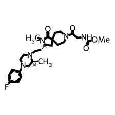 COC(=O)NCC(=O)N1CCC2(CC1)C[C@H](CCN1CCN(c3ccc(F)cc3)C[C@@H]1C)N(C)C2=O